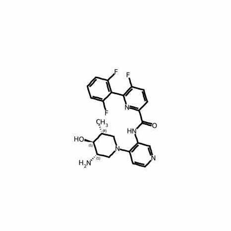 C[C@@H]1CN(c2ccncc2NC(=O)c2ccc(F)c(-c3c(F)cccc3F)n2)C[C@H](N)[C@H]1O